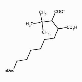 CCCCCCCCCCCCCCCCC(C(=O)O)C(C(=O)[O-])[N+](C)(C)C